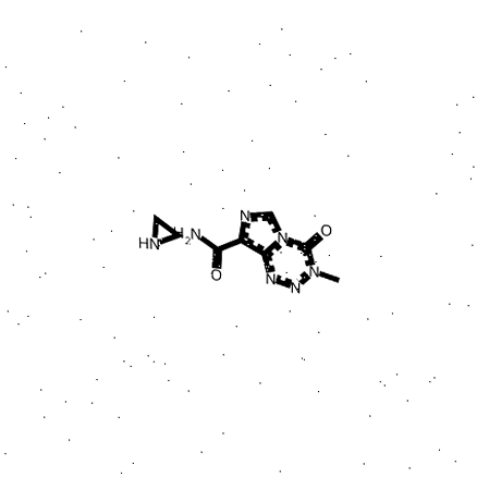 C1CN1.Cn1nnc2c(C(N)=O)ncn2c1=O